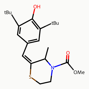 COC(=O)N1CCSC(=Cc2cc(C(C)(C)C)c(O)c(C(C)(C)C)c2)C1C